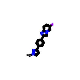 [11CH3]n1ccc(-c2ccc(-c3cn4cc(I)ccc4n3)cc2)n1